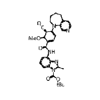 COC1C(=C=O)C(N2CCCCc3ccncc32)=CC=C1C(=O)Nc1cccc2c1nc(C)n2C(=O)OC(C)(C)C